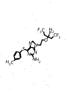 Cc1ccc(Sc2nc(N)nc3c2ncn3CCOC(P)(CC(F)(F)F)CC(F)(F)F)cc1